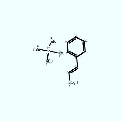 CCCC[PH](CCCC)(CCCC)CCCC.O=S(=O)(O)C=Cc1ccccc1